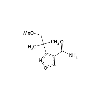 COCC(C)(C)c1no[c]c1C(N)=O